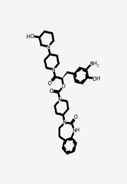 Bc1cc(C[C@@H](OC(=O)N2CCC(N3CCc4ccccc4NC3=O)CC2)C(=O)N2CCC(N3CCCC(O)C3)CC2)ccc1O